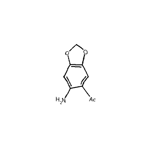 CC(=O)c1cc2c(cc1N)OCO2